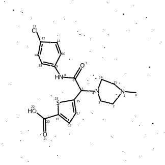 CN1CCN(C(C(=O)Nc2ccc(Cl)cc2)c2ccc(C(=O)O)s2)CC1